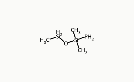 C[SiH2]O[Si](C)(C)P